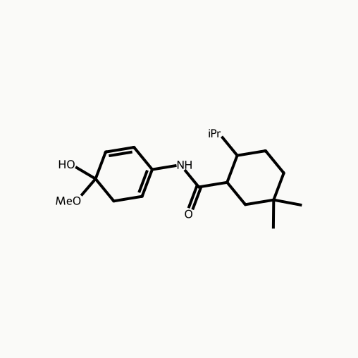 COC1(O)C=CC(NC(=O)C2CC(C)(C)CCC2C(C)C)=CC1